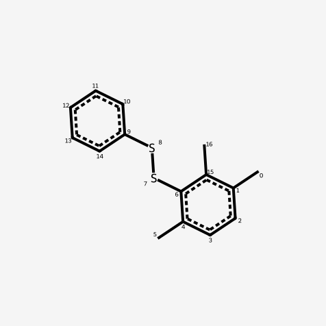 Cc1ccc(C)c(SSc2ccccc2)c1C